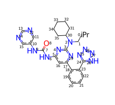 CC(C)CN(c1nc(NC(=O)Nc2cncnc2)cc(-c2ccccc2-c2nnn[nH]2)n1)C1CCCCC1